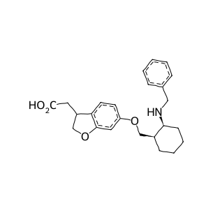 O=C(O)CC1COc2cc(OC[C@@H]3CCCC[C@@H]3NCc3ccccc3)ccc21